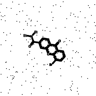 CCN(CC)C(=O)c1ccc2c(=O)c3cccc(Br)c3oc2c1